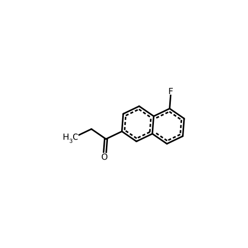 CCC(=O)c1ccc2c(F)cccc2c1